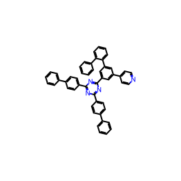 c1ccc(-c2ccc(-c3nc(-c4ccc(-c5ccccc5)cc4)nc(-c4cc(-c5ccncc5)cc(-c5ccccc5-c5ccccc5)c4)n3)cc2)cc1